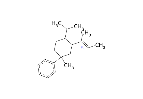 C/C=C(\C)C1CC(C)(c2ccccc2)CCC1C(C)C